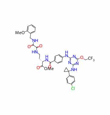 COC(=O)[C@H](CCNC(=O)C(=O)NCc1ccccc1OC)NC(=O)c1ccc(Nc2nc(NC3(c4ccc(Cl)cc4)CC3)nc(OCC(F)(F)F)n2)cc1